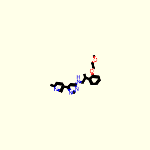 COCCOc1ccccc1C(C)CNc1cc(-c2ccc(C)nc2)ncn1